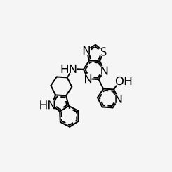 Oc1ncccc1-c1nc(N[C@@H]2CCc3[nH]c4ccccc4c3C2)c2ncsc2n1